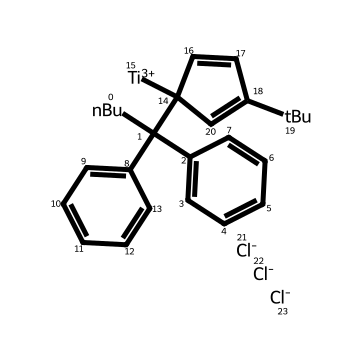 CCCCC(c1ccccc1)(c1ccccc1)[C]1([Ti+3])C=CC(C(C)(C)C)=C1.[Cl-].[Cl-].[Cl-]